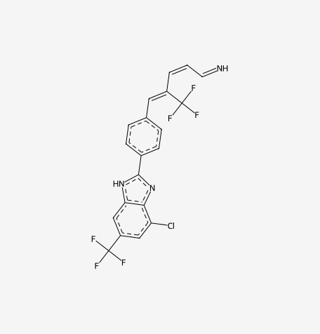 N=C/C=C\C(=C\c1ccc(-c2nc3c(Cl)cc(C(F)(F)F)cc3[nH]2)cc1)C(F)(F)F